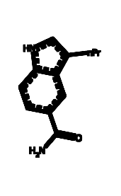 [CH2]CCc1c[nH]c2ccc(C(N)=O)cc12